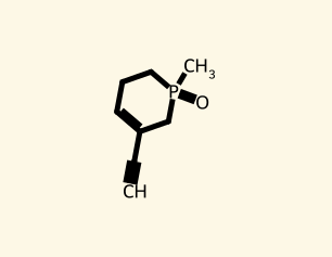 C#CC1=CCCP(C)(=O)C1